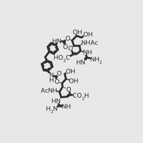 CC(=O)N[C@H]1[C@H]([C@H](OC(=O)Nc2ccc(Cc3ccc(NC(=O)O[C@@H]([C@@H]4OC(C(=O)O)=C[C@H](NC(=N)N)[C@H]4NC(C)=O)[C@@H](O)CO)cc3)cc2)[C@H](O)CO)OC(C(=O)O)=C[C@@H]1NC(=N)N